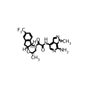 C[C@H]1CN(C(=O)C(=O)Nc2cnc(N)c3c2cnn3C)[C@H]2c3ccc(C(F)(F)F)cc3C[C@H]2O1